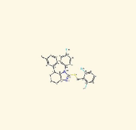 Cc1cccc(C2CCCc3nc(SCc4c(F)cccc4F)n(-c4ccc(F)cc4)c32)c1